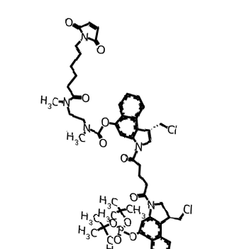 CN(CCN(C)C(=O)Oc1cc2c(c3ccccc13)[C@H](CCl)CN2C(=O)CCCC(=O)N1C[C@@H](CCl)c2c1cc(OP(=O)(OC(C)(C)C)OC(C)(C)C)c1ccccc21)C(=O)CCCCCN1C(=O)C=CC1=O